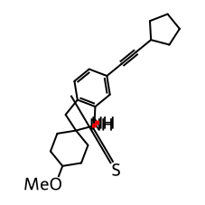 COC1CCC2(CC1)Cc1ccc(C#CC3CCCC3)cc1C21CNC(=S)N1